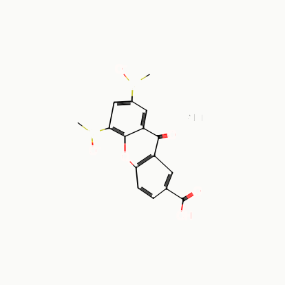 C[S+]([O-])c1cc([S+](C)[O-])c2oc3ccc(C(=O)O)cc3c(=O)c2c1.[AlH3]